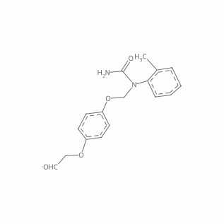 Cc1ccccc1N(COc1ccc(OC[C]=O)cc1)C(N)=O